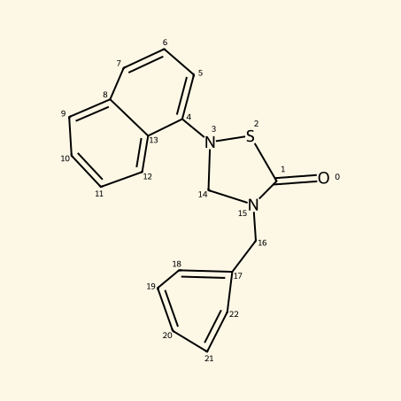 O=C1SN(c2cccc3ccccc23)CN1Cc1ccccc1